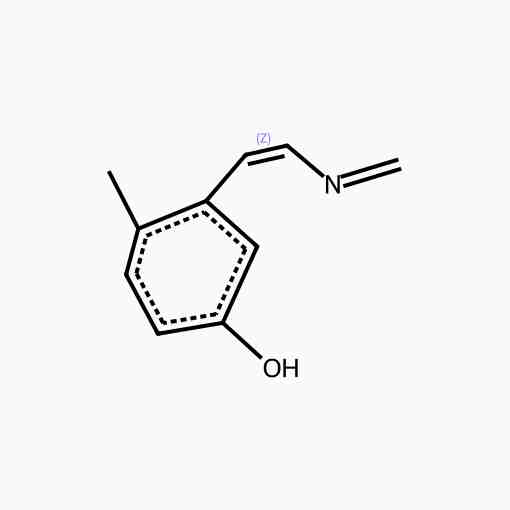 C=N/C=C\c1cc(O)ccc1C